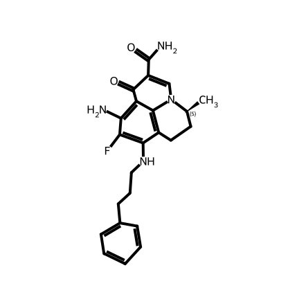 C[C@H]1CCc2c(NCCCc3ccccc3)c(F)c(N)c3c(=O)c(C(N)=O)cn1c23